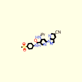 CC(C)Nc1cc(-n2ncc3cc(C#N)cnc32)ncc1C(=O)NC1CCC(S(C)(=O)=O)CC1